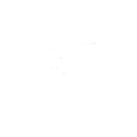 CN(C)C1(c2ccccc2)CCC2(CC1)CN(Cc1ccc(S(C)(=O)=O)cc1)C(=O)N2CC1CCC1